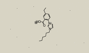 CCCCCCn1cc[n+](-c2ccc(CC)cc2C(=O)O)c1.[Br-]